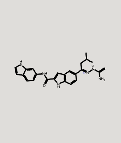 C=C(N)N/N=C(\CC(C)C)c1ccc2[nH]c(C(=O)Nc3ccc4cc[nH]c4c3)cc2c1